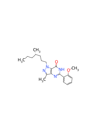 CCC[C@H](C)CCCn1nc(C)c2nc(-c3ccccc3OC)[nH]c(=O)c21